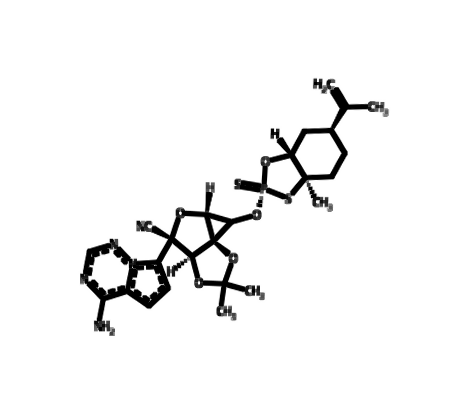 C=C(C)[C@H]1CC[C@@]2(C)S[P@](=S)(OC3[C@H]4O[C@@](C#N)(c5ccc6c(N)ncnn56)[C@@H]5OC(C)(C)O[C@]345)O[C@@H]2C1